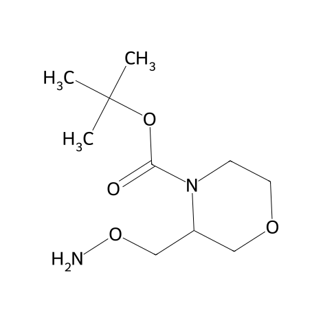 CC(C)(C)OC(=O)N1CCOCC1CON